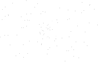 CC(C)NCc1ccccc1-n1cc(C(F)(F)F)cn1